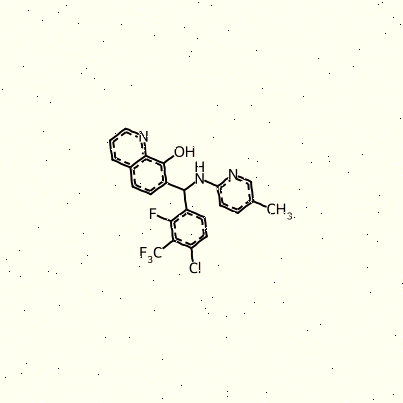 Cc1ccc(NC(c2ccc(Cl)c(C(F)(F)F)c2F)c2ccc3cccnc3c2O)nc1